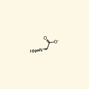 N=[N+]=CC(=O)[O-]